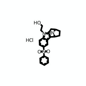 Cl.O=S(=O)(c1ccccc1)c1ccc2c(c1)c1c(n2CCO)CC2CCC1N2